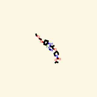 CCOCCOc1ccc(Nc2ncnc(OC3CCN(C(=O)OC(C)C)CC3)c2C)c(F)c1